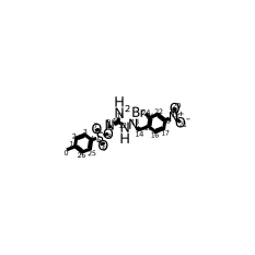 Cc1ccc(S(=O)(=O)ON=C(N)NN=Cc2ccc([N+](=O)[O-])cc2Br)cc1